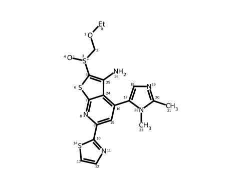 CCOC[S+]([O-])c1sc2nc(-c3nccs3)cc(-c3cnc(C)n3C)c2c1N